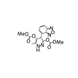 COC(=O)OC1=NNC(C)=C(OC(=O)OC)C1c1cccc2nonc12